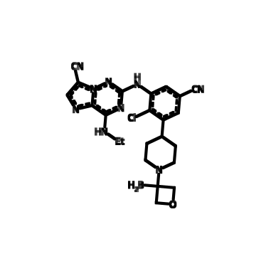 BC1(N2CCC(c3cc(C#N)cc(Nc4nc(NCC)c5ncc(C#N)n5n4)c3Cl)CC2)COC1